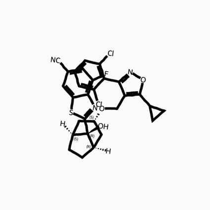 N#Cc1cc(F)c2nc([C@]3(O)[C@@H]4CC[C@H]3C[C@H](OCc3c(-c5c(Cl)cccc5Cl)noc3C3CC3)C4)sc2c1